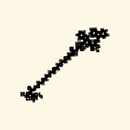 CC(C(=O)O)N(C)C(=O)CCOCCOCCOCCOCCOCCOCCNC(=O)CNC(=O)CCn1c(CN(C)N(C)C(=O)OCC2c3ccccc3-c3ccccc32)cc2ccccc21